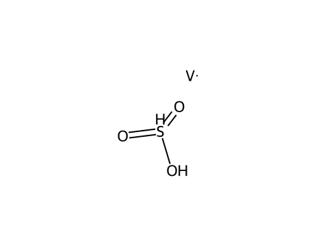 O=[SH](=O)O.[V]